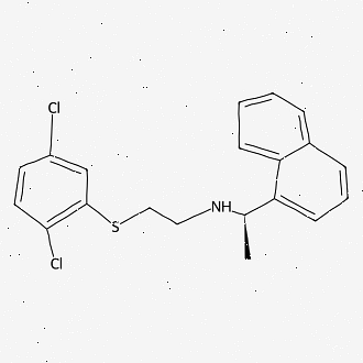 C[C@@H](NCCSc1cc(Cl)ccc1Cl)c1cccc2ccccc12